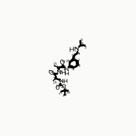 CC(C)NCCc1cccc(NC(=O)[C@H](C)NC(=O)[C@H](C)NC(=O)OC(C)(C)C)c1